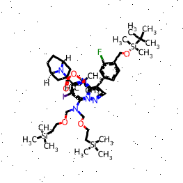 CC(C)(C)OC(=O)N1[C@@H]2CC[C@H]1C[C@@H](c1nc3c(-c4ccc(CO[Si](C)(C)C(C)(C)C)c(F)c4)cnn3c(N(COCC[Si](C)(C)C)COCC[Si](C)(C)C)c1I)C2